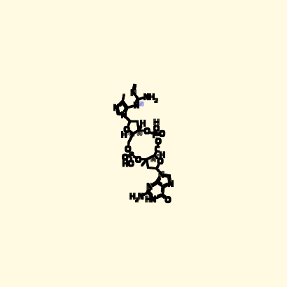 C=N/C(N)=N\c1c(C)ncn1C1C[C@@H]2OP(=O)(O)OC[C@H]3OC(n4cnc5c(=O)[nH]c(N)nc54)CC3(C)OP(=O)(O)OC[C@H]2O1